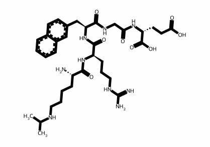 CC(C)NCCCC[C@H](N)C(=O)N[C@H](CCCNC(=N)N)C(=O)N[C@@H](Cc1ccc2ccccc2c1)C(=O)NCC(=O)N[C@H](CCC(=O)O)C(=O)O